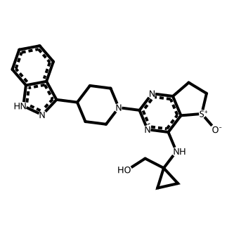 [O-][S+]1CCc2nc(N3CCC(c4n[nH]c5ccccc45)CC3)nc(NC3(CO)CC3)c21